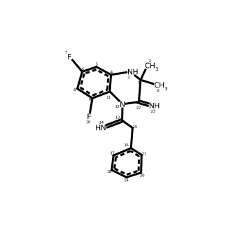 CC1(C)Nc2cc(F)cc(F)c2N(C(=N)Cc2ccccc2)C1=N